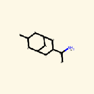 CC1CC2CC(C1)CC(C(C)N)C2